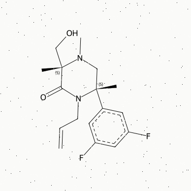 C=CCN1C(=O)[C@](C)(CO)N(C)C[C@]1(C)c1cc(F)cc(F)c1